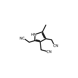 Cc1[nH]c(CC#N)c(CC#N)c1CC#N